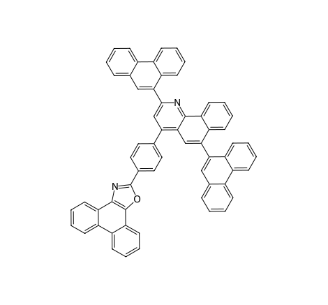 c1ccc2c(c1)cc(-c1cc(-c3ccc(-c4nc5c6ccccc6c6ccccc6c5o4)cc3)c3cc(-c4cc5ccccc5c5ccccc45)c4ccccc4c3n1)c1ccccc12